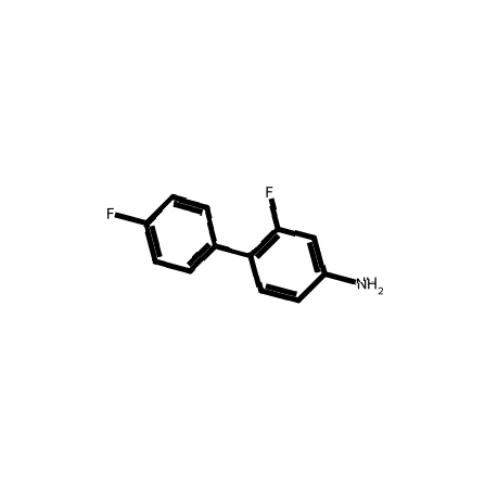 Nc1ccc(-c2ccc(F)cc2)c(F)c1